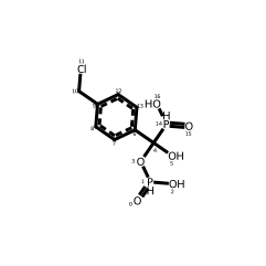 O=[PH](O)OC(O)(c1ccc(CCl)cc1)[PH](=O)O